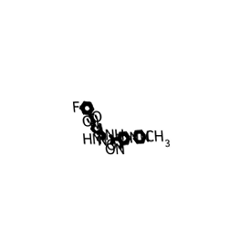 CN1CCN(c2ccc(C(=O)Nc3n[nH]c4c3CN(S(=O)(=O)c3cccc(F)c3)C4)c(N=O)c2)CC1